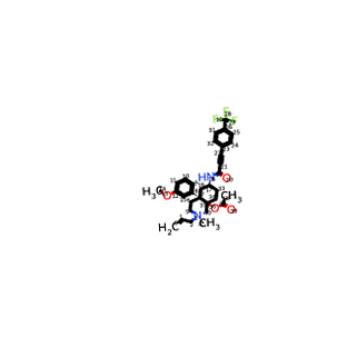 C=CC[N@@+]1(C)CC[C@@]2(c3cccc(OC)c3)C[C@H](NC(=O)C#Cc3ccc(C(F)(F)F)cc3)CCC2(OC(C)=O)C1